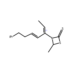 C/C=C(\C=CCCC(C)C)N1C(=S)SC1C